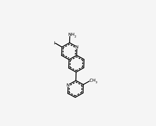 Cc1cccnc1-c1ccc2nc(N)c(I)cc2c1